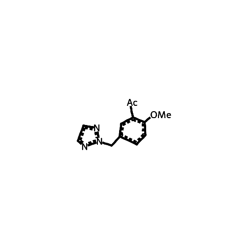 COc1ccc(Cn2nccn2)cc1C(C)=O